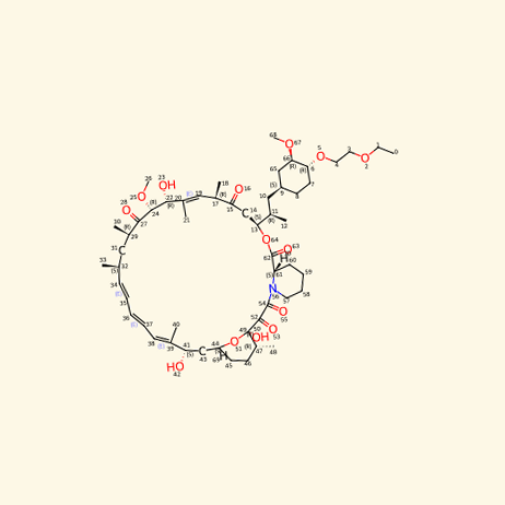 CCOCCO[C@@H]1CC[C@@H](C[C@@H](C)[C@@H]2CC(=O)[C@H](C)/C=C(\C)[C@@H](O)[C@@H](OC)C(=O)[C@H](C)C[C@H](C)/C=C/C=C/C=C(\C)[C@@H](O)C[C@@H]3CC[C@@H](C)[C@@](O)(O3)C(=O)C(=O)N3CCCC[C@H]3C(=O)O2)C[C@H]1OC